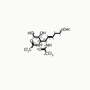 CCCCCCCCCCCC/C=C/[C@H](NC(=O)C(Cl)(Cl)Cl)[C@@H](NC(=O)C(Cl)(Cl)Cl)[C@H](O)CO